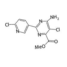 COC(=O)c1nc(-c2ccc(Cl)nc2)nc(N)c1Cl